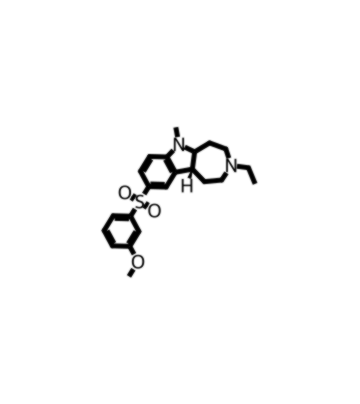 CCN1CCC2[C@H](CC1)c1cc(S(=O)(=O)c3cccc(OC)c3)ccc1N2C